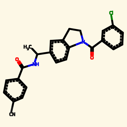 CC(NC(=O)c1ccc(C#N)cc1)c1ccc2c(c1)CCN2C(=O)c1cccc(Cl)c1